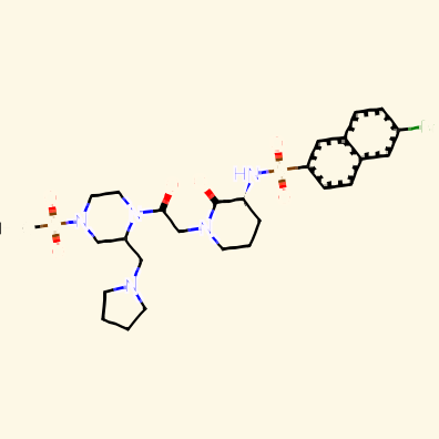 CS(=O)(=O)N1CCN(C(=O)CN2CCC[C@H](NS(=O)(=O)c3ccc4cc(Br)ccc4c3)C2=O)C(CN2CCCC2)C1